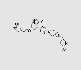 COc1ccc(CN2CC3(CCN(c4ccc(-c5cc(OCCN6CC7CC7(O)C6)cn6ncc(Cl)c56)cn4)CC3)C2)cn1